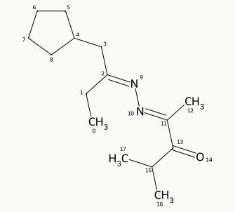 CC/C(CC1CCCC1)=N\N=C(/C)C(=O)C(C)C